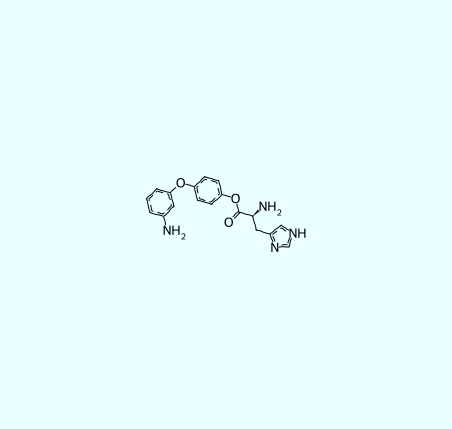 Nc1cccc(Oc2ccc(OC(=O)[C@@H](N)Cc3c[nH]cn3)cc2)c1